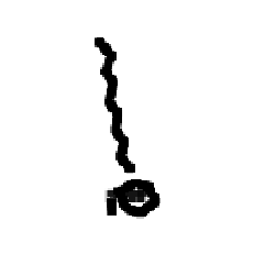 C1CCCCC1.CCCCCC.CCCCCCCCCC